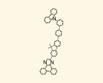 CC1(C)c2cc(-c3ccc(-c4cccc(-n5c6ccccc6c6ccccc65)c4)cc3)ccc2-c2ccc(-c3cnc4c5ccccc5c5ccccc5c4n3)cc21